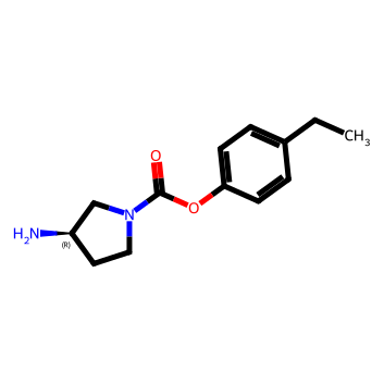 CCc1ccc(OC(=O)N2CC[C@@H](N)C2)cc1